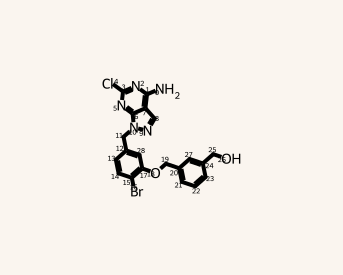 Nc1nc(Cl)nc2c1cnn2Cc1ccc(Br)c(OCc2cccc(CO)c2)c1